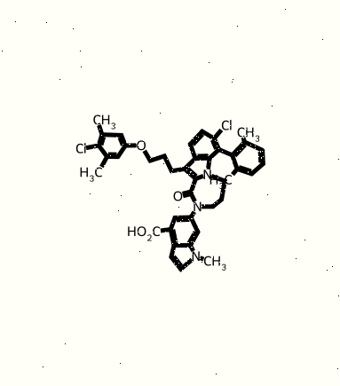 Cc1cc(OCCCc2c3n(c4c(-c5c(C)cccc5C)c(Cl)ccc24)CCCN(c2cc(C(=O)O)c4ccn(C)c4c2)C3=O)cc(C)c1Cl